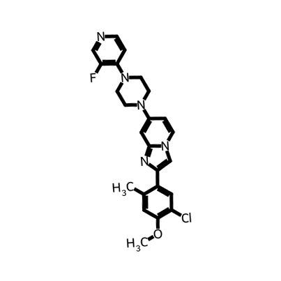 COc1cc(C)c(-c2cn3ccc(N4CCN(c5ccncc5F)CC4)cc3n2)cc1Cl